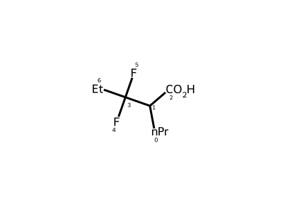 CCCC(C(=O)O)C(F)(F)CC